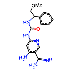 COCC(NC(=O)Nc1cc(N)c(C(=N)N)cn1)c1ccccc1